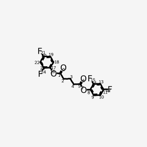 O=C(CCCC(=O)Oc1ccc(F)cc1F)Oc1ccc(F)cc1F